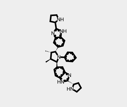 C[C@H]1[C@H](C)[C@H](c2ccc3[nH]c([C@@H]4CCCN4)nc3c2)N(c2ccccc2)[C@H]1c1ccc2[nH]c(C3CCCN3)nc2c1